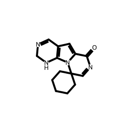 O=C1N=CC2(CCCCC2)n2c1cc1c2NCN=C1